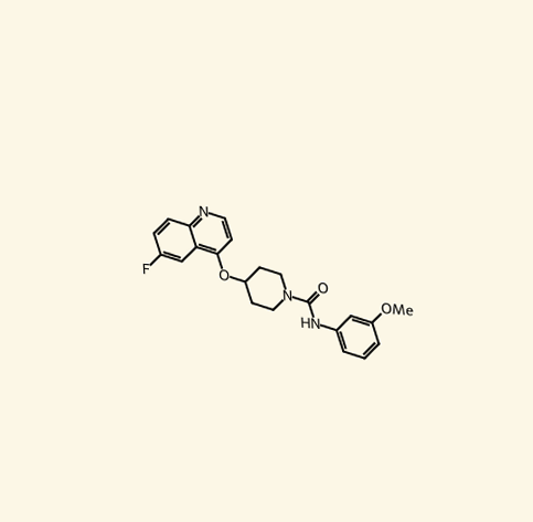 COc1cccc(NC(=O)N2CCC(Oc3ccnc4ccc(F)cc34)CC2)c1